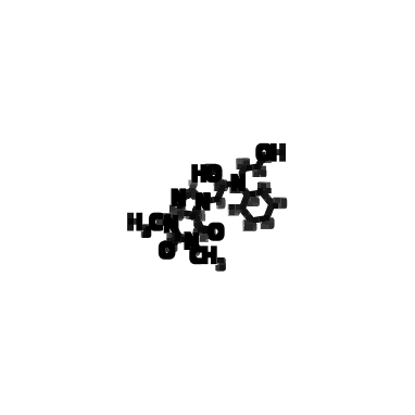 Cn1c(=O)c2c(ncn2CC(O)N(CCO)C2CCCCC2)n(C)c1=O